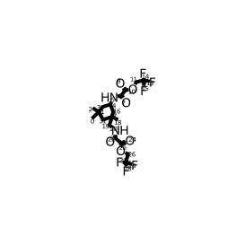 CC1(C)CC(NC(=O)C(=O)OCC(F)(F)F)CC(C)(CNC(=O)C(=O)OCC(F)(F)F)C1